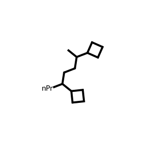 [CH2]CCC(CCC(C)C1CCC1)C1CCC1